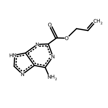 C=CCOC(=O)c1nc(N)c2nc[nH]c2n1